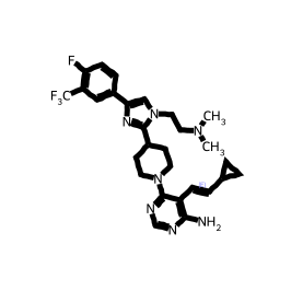 CN(C)CCn1cc(-c2ccc(F)c(C(F)(F)F)c2)nc1C1CCN(c2ncnc(N)c2/C=C/C2CC2)CC1